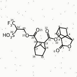 O=C1OC2C3CC(CC13)C2OC(=O)C1C2CCC(C2)C1C(=O)OCC(C(F)(F)F)S(=O)(=O)O